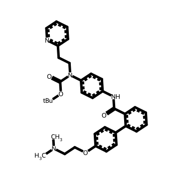 CN(C)CCOc1ccc(-c2ccccc2C(=O)Nc2ccc(N(CCc3ccccn3)C(=O)OC(C)(C)C)cc2)cc1